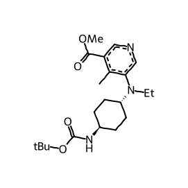 CCN(c1cncc(C(=O)OC)c1C)[C@H]1CC[C@H](NC(=O)OC(C)(C)C)CC1